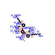 CC(=N)NCCC[C@@H](N)C(=O)Nc1cccc(NC(=O)c2cc(C(=O)Nc3cccc(NC(=O)[C@H](N)CCCNC(=N)N)c3SCCNC(=N)N)c(OCNC(=N)N)cc2OCNC(=N)N)c1SCCNC(=N)N